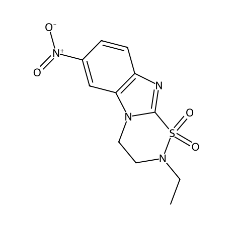 CCN1CCn2c(nc3ccc([N+](=O)[O-])cc32)S1(=O)=O